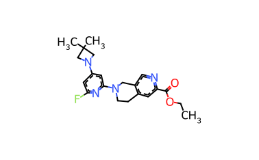 CCOC(=O)c1cc2c(cn1)CN(c1cc(N3CC(C)(C)C3)cc(F)n1)CC2